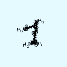 COC(=O)CCCCc1cc(OCOC(=O)CCCCc2ccc(O)c3c2CC(N)C3)cc2c1CC(N)C2